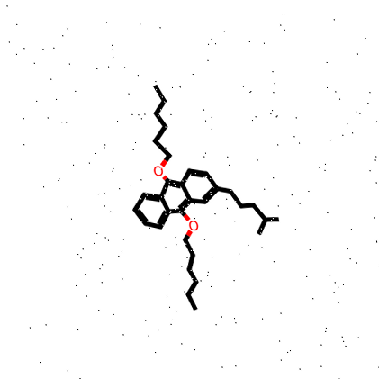 CCCCCCOc1c2ccccc2c(OCCCCCC)c2cc(CCCC(C)C)ccc12